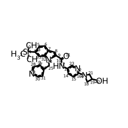 C[Si](C)(C)c1ccc2cc(C(=O)Nc3ccc(N4CC(O)C4)nc3)n(Cc3ccncc3)c2c1